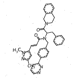 Cc1cc(C=CC(=O)N(Cc2ccc(-c3cccnn3)cc2)C(Cc2ccccc2)C(=O)N2CCc3ccccc3C2)n(C)n1